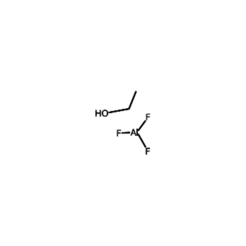 CCO.[F][Al]([F])[F]